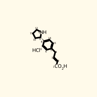 Cl.O=C(O)C=CCc1ccc([C@@H]2CCCN2)cc1